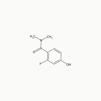 CN(C)C(=O)c1ccc(O)cc1F